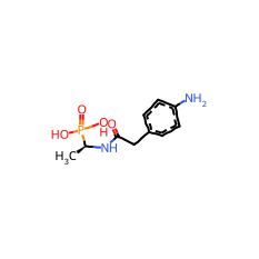 C[C@H](NC(=O)Cc1ccc(N)cc1)P(=O)(O)O